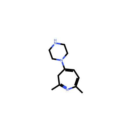 CC1=CC=C(N2CCNCC2)CC(C)=N1